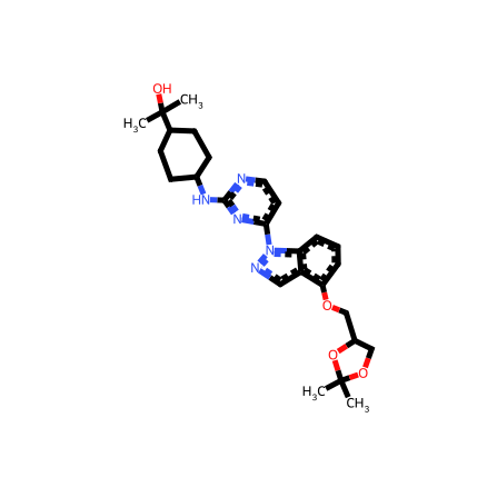 CC1(C)OCC(COc2cccc3c2cnn3-c2ccnc(NC3CCC(C(C)(C)O)CC3)n2)O1